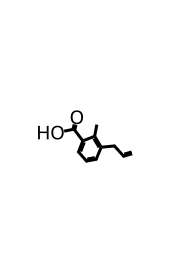 C=CCc1cccc(C(=O)O)c1C